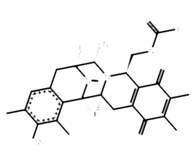 COc1c(C)cc2c(c1C)[C@@H]1[C@@H]3CC4=C(C(=O)C(C)=C(C)C4=O)[C@H](CNC(=O)C(C)C)N3[C@@H](C#N)[C@H](C2)N1C